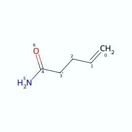 C=CC[CH]C(N)=O